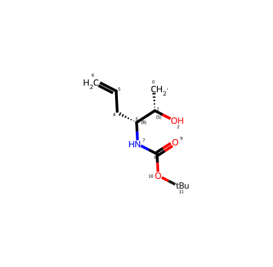 [CH2][C@H](O)[C@@H](CC=C)NC(=O)OC(C)(C)C